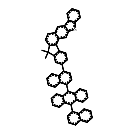 CC1(C)c2cc(-c3ccc(-c4c5ccccc5c(-c5cccc6ccccc56)c5ccccc45)c4ccccc34)ccc2-c2c1ccc1cc3c(cc21)sc1ccccc13